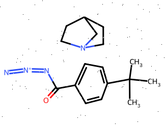 C1CN2CCC1C2.CC(C)(C)c1ccc(C(=O)N=[N+]=[N-])cc1